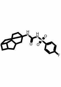 O=C(NC12CCC3C(CC4CC(C1)C43)C2)NS(=O)(=O)c1ccc(F)cc1